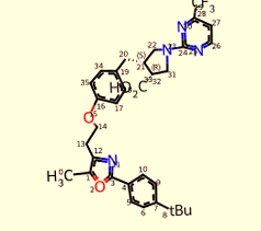 Cc1oc(-c2ccc(C(C)(C)C)cc2)nc1CCOc1ccc(C[C@@H]2CN(c3nccc(C(F)(F)F)n3)C[C@@H]2C(=O)O)cc1